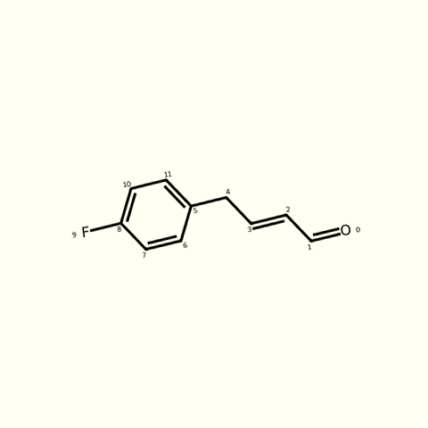 O=CC=CCc1ccc(F)cc1